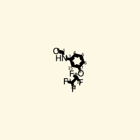 O=CNc1cccc(OC(F)(F)C(F)F)c1